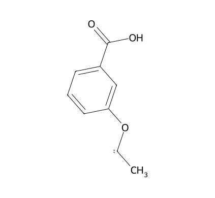 C[C]Oc1cccc(C(=O)O)c1